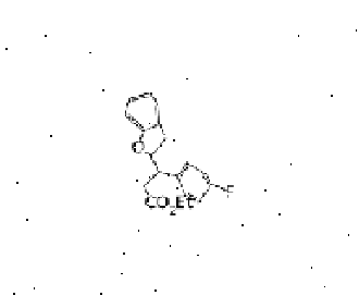 CCOC(=O)CC(c1ccc(F)cc1)C1Cc2ccccc2O1